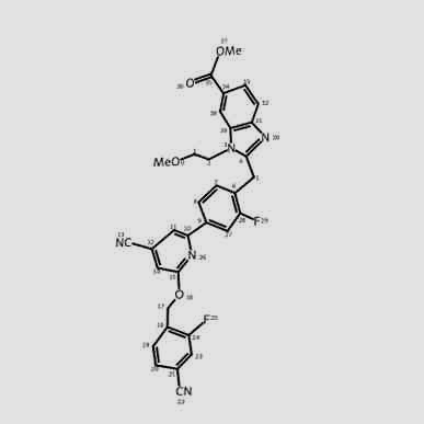 COCCn1c(Cc2ccc(-c3cc(C#N)cc(OCc4ccc(C#N)cc4F)n3)cc2F)nc2ccc(C(=O)OC)cc21